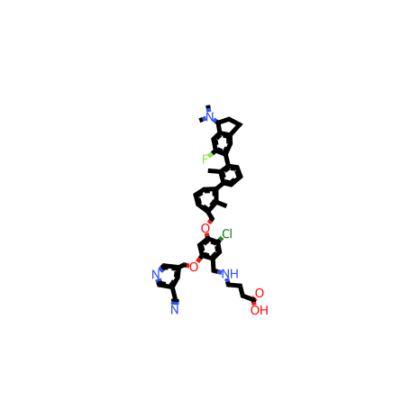 Cc1c(COc2cc(OCc3cncc(C#N)c3)c(CNCCCC(=O)O)cc2Cl)cccc1-c1cccc(-c2cc3c(cc2F)C(N(C)C)CC3)c1C